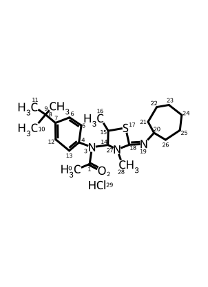 CC(=O)N(c1ccc(C(C)(C)C)cc1)C1C(C)SC(=NC2CCCCCC2)N1C.Cl